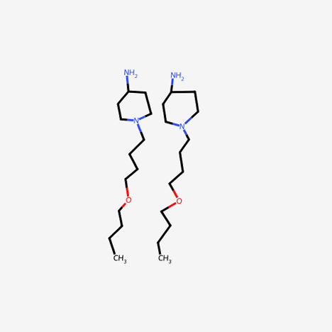 CCCCOCCCCN1CCC(N)CC1.CCCCOCCCCN1CCC(N)CC1